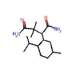 CC1CCC(C(C)C)C(C(C(N)=O)C(C)(C)C(N)=O)C1